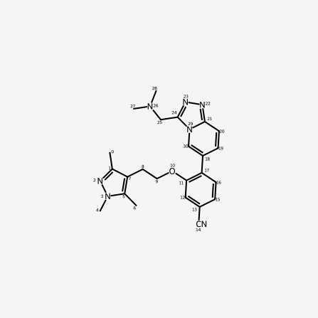 Cc1nn(C)c(C)c1CCOc1cc(C#N)ccc1-c1ccc2nnc(CN(C)C)n2c1